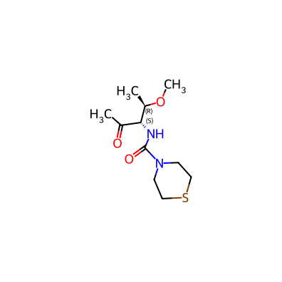 CO[C@H](C)[C@H](NC(=O)N1CCSCC1)C(C)=O